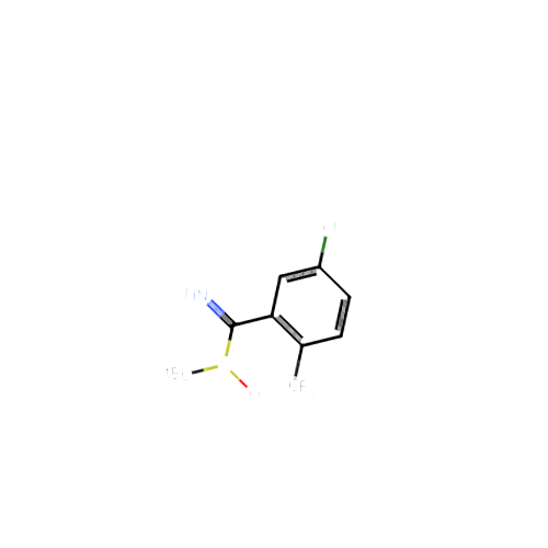 CC(C)(C)[S+]([O-])C(=N)c1[c]c(Cl)ccc1C(F)(F)F